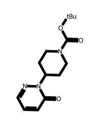 CC(C)(C)OC(=O)N1CCC(n2ncccc2=O)CC1